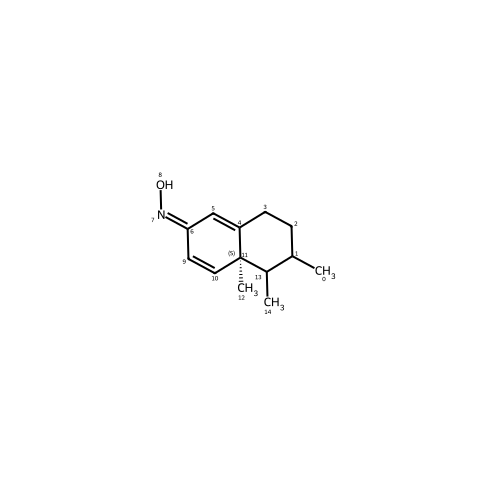 CC1CCC2=CC(=NO)C=C[C@]2(C)C1C